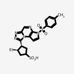 CC[C@@H]1CC(S(=O)(=O)O)C[C@@H]1c1nnc2cnc3c(ccn3S(=O)(=O)c3ccc(C)cc3)n12